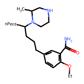 CCCCCC(CCCc1ccc(OCC)c(C(N)=O)c1)N1CCNCC1C